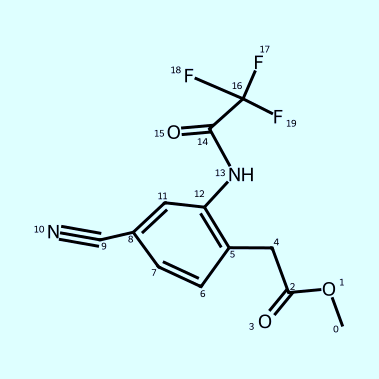 COC(=O)Cc1ccc(C#N)cc1NC(=O)C(F)(F)F